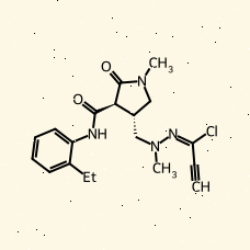 C#C/C(Cl)=N\N(C)C[C@H]1CN(C)C(=O)[C@@H]1C(=O)Nc1ccccc1CC